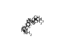 CC(C)(C)OC(=O)n1ncc2cc(-c3ccnc(N)n3)ccc21